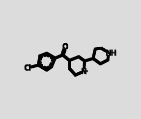 O=C(c1ccc(Cl)cc1)C1CC[N]C(C2CCNCC2)C1